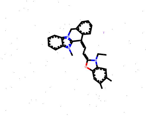 CCN1C(=CC=C2c3ccccc3C[n+]3c2n(C)c2ccccc23)Oc2cc(C)c(C)cc21.[I-]